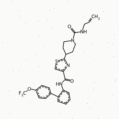 C=CCNC(=O)N1CCC(c2nc(C(=O)Nc3ccccc3-c3ccc(OC(F)(F)F)cc3)cs2)CC1